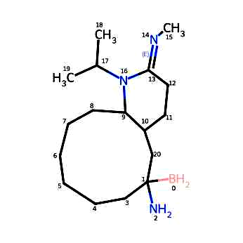 BC1(N)CCCCCCC2C(CC/C(=N\C)N2C(C)C)C1